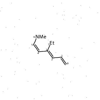 C=C/C=C(/C=C\NC)CC